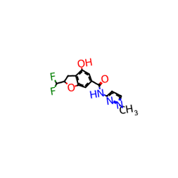 Cn1ccc(NC(=O)c2cc(O)c3c(c2)OC(C(F)F)C3)n1